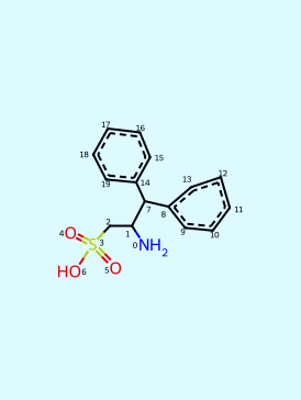 NC(CS(=O)(=O)O)C(c1ccccc1)c1ccccc1